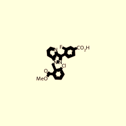 COC(=O)c1cccc(Cl)c1Cn1nc(-c2ccc(C(=O)O)cc2F)c2ncccc21